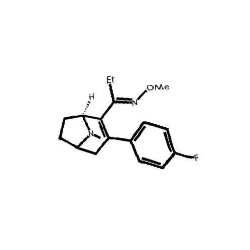 CCC(=NOC)C1=C(c2ccc(F)cc2)CC2CC[C@@H]1N2C